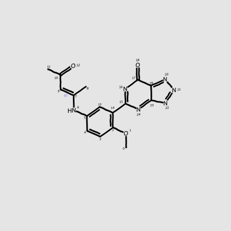 COc1ccc(N/C(C)=C/C(C)=O)cc1C1=NC(=O)C2=NN=NC2=N1